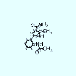 CC(=O)Nc1ccccc1-c1cc(C(N)=O)c(C)[nH]1